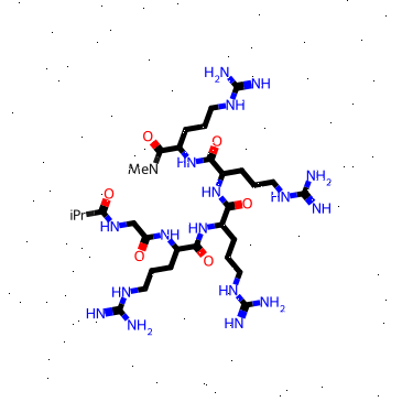 CNC(=O)C(CCCNC(=N)N)NC(=O)C(CCCNC(=N)N)NC(=O)C(CCCNC(=N)N)NC(=O)C(CCCNC(=N)N)NC(=O)CNC(=O)C(C)C